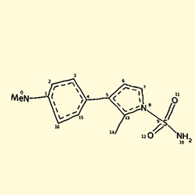 CNc1ccc(-c2ccn(S(N)(=O)=O)c2C)cc1